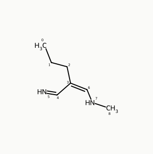 CCC/C(C=N)=C/NC